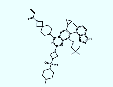 C=CC(=O)N1CC2(CCN(c3nc(N4CC(S(=O)(=O)N5CCN(C)CC5)C4)nc4c(OCC(F)(F)F)c(-c5c(C)ccc6[nH]ncc56)c(C5CC5)cc34)CC2)C1